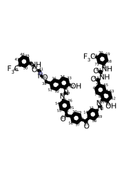 O=C(NC(=O)c1ccc2c(N=Nc3ccc(C(=O)c4ccc(C(=O)c5ccc(N=Nc6c(O)ccc7cc(CO/N=C/ONc8cccc(C(F)(F)F)c8)ccc67)cc5)cc4)cc3)c(O)ccc2c1)Nc1cccc(C(F)(F)F)c1